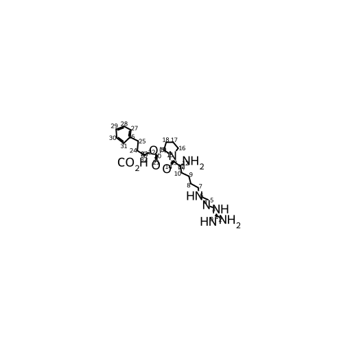 N=C(N)NN=CNCCCC[C@H](N)C(=O)N1CCC[C@H]1C(=O)O[C@@H](CCc1ccccc1)C(=O)O